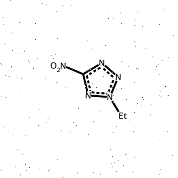 CCn1nnc([N+](=O)[O-])n1